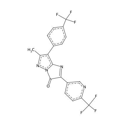 Cc1nn2c(c1-c1ccc(C(F)(F)F)cc1)N=C(c1ccc(C(F)(F)F)nc1)C2=O